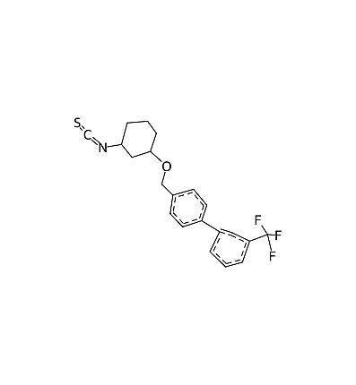 FC(F)(F)c1cccc(-c2ccc(COC3CCCC(N=C=S)C3)cc2)c1